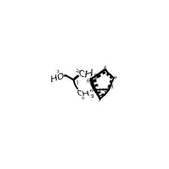 CC(C)O.c1cc2cc-2c1